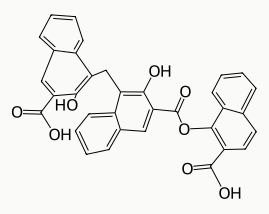 O=C(O)c1cc2ccccc2c(Cc2c(O)c(C(=O)Oc3c(C(=O)O)ccc4ccccc34)cc3ccccc23)c1O